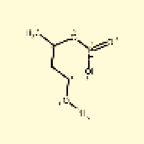 [3H]OCCC(C)O[PH](=O)O